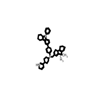 CC1(C)C2=CC(CN(C3=CCC(c4ccc5c(c4)c4c(n5-c5ccccc5)CCCC4)C=C3)C3CCC(C4=CNCC=C4)CC3)=CCC2C2=C1C=CCC2